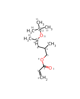 C=CC(=O)OCC(C)C[SiH](C)O[Si](C)(C)C